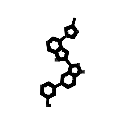 Cc1cn(-c2cncc3[nH]c(-c4n[nH]c5ccc(-c6cncc(O)c6)cc45)cc23)cn1